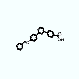 O=C(O)c1ccc(-c2cccc(-c3ccc(OCc4ccccc4)cc3)c2)cc1